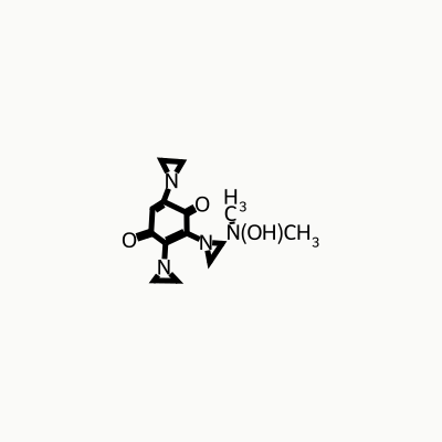 CN(C)O.O=C1C=C(N2CC2)C(=O)C(N2CC2)=C1N1CC1